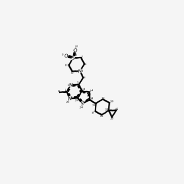 Cc1nc(CN2CCS(=O)(=O)CC2)c2cc(C3CCC4(CC3)CC4)sc2n1